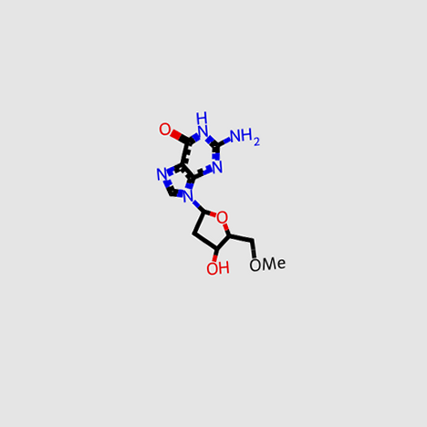 COCC1OC(n2cnc3c(=O)[nH]c(N)nc32)CC1O